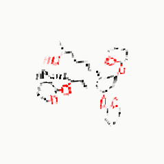 CCCCCC(C=C[C@@H]1[C@@H](CC=CCCC(C)O)[C@@H](OC2CCCCO2)C[C@H]1OC1CCCCO1)OC1CCCCO1